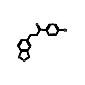 O=C(CCc1ccc2c(c1)COO2)c1ccc(Br)cc1